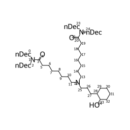 CCCCCCCCCCN(CCCCCCCCCC)C(=O)CCCCCCCN(CCCCCCCC(=O)N(CCCCCCCCCC)CCCCCCCCCC)CCCC1CCCCC1O